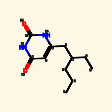 CCCC(CC)Cc1cc(=O)[nH]c(=O)[nH]1